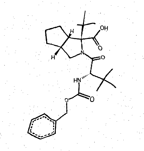 CC(C)(C)[C@H](NC(=O)OCc1ccccc1)C(=O)N1C[C@@H]2CCC[C@@H]2[C@@]1(C(=O)O)C(C)(C)C